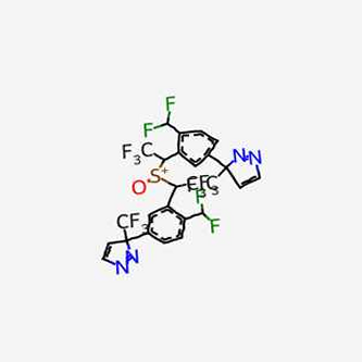 [O-][S+](C(c1cc(C2(C(F)(F)F)C=CN=N2)ccc1C(F)F)C(F)(F)F)C(c1cc(C2(C(F)(F)F)C=CN=N2)ccc1C(F)F)C(F)(F)F